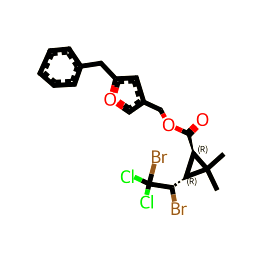 CC1(C)[C@H](C(=O)OCc2coc(Cc3ccccc3)c2)[C@H]1C(Br)C(Cl)(Cl)Br